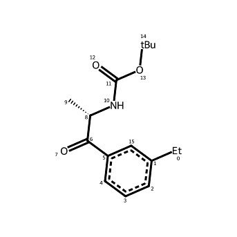 CCc1cccc(C(=O)[C@H](C)NC(=O)OC(C)(C)C)c1